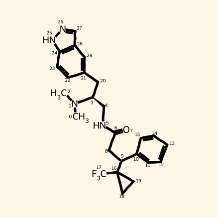 CN(C)[C@H](CNC(=O)CC(c1ccccc1)C1(C(F)(F)F)CC1)Cc1ccc2[nH]ncc2c1